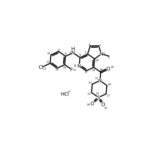 Cl.Cn1ccc2c(Nc3ccc(Cl)cc3F)ncc(C(=O)N3CCS(=O)(=O)CC3)c21